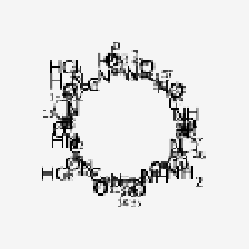 CC[C@H](C)[C@H]1C(=O)NC[C@@H](N)C(=O)N2CCCC[C@H]2C(=O)NCC(=O)N(C)CC(=O)N(C)[C@@H](C(C)C)C(=O)NC[C@@H](N)C(=O)N2CCCC[C@H]2C(=O)NCC(=O)N(C)CC(=O)N1C.Cl.Cl